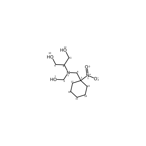 O=[N+]([O-])C1(CN(CO)C(CO)CO)CCCCC1